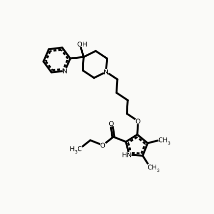 CCOC(=O)c1[nH]c(C)c(C)c1OCCCCN1CCC(O)(c2ccccn2)CC1